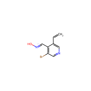 C=Cc1cncc(Br)c1/C=N/O